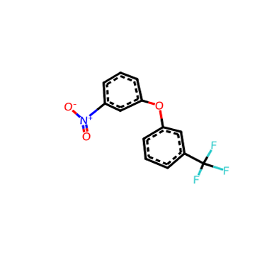 O=[N+]([O-])c1cccc(Oc2cccc(C(F)(F)F)c2)c1